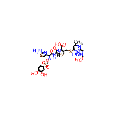 CC1=NC2=CN(CO)NN2C(SCC2=C(C(=O)O)N3C(=O)[C@@H](NC(=O)C(=NOCS(=O)(=O)c4ccc(O)c(O)c4)c4csc(N)n4)[C@H]3SC2)=C1